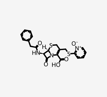 O=C(Cc1ccccc1)N[C@@H]1C(=O)N2C(C(=O)O)=C(CSc3cccc[n+]3[O-])CS[C@H]12